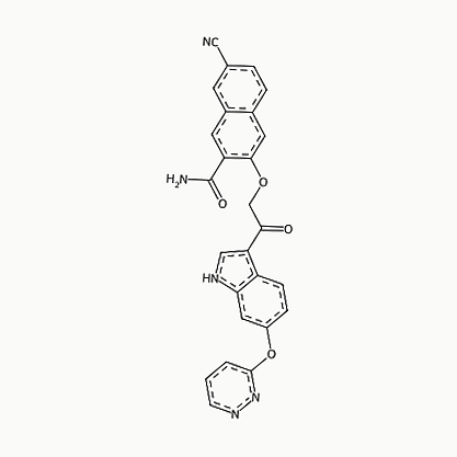 N#Cc1ccc2cc(OCC(=O)c3c[nH]c4cc(Oc5cccnn5)ccc34)c(C(N)=O)cc2c1